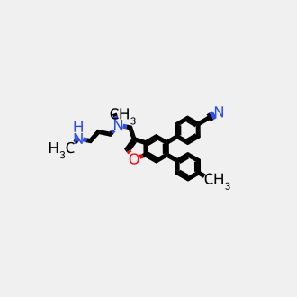 CNCCCN(C)Cc1coc2cc(-c3ccc(C)cc3)c(-c3ccc(C#N)cc3)cc12